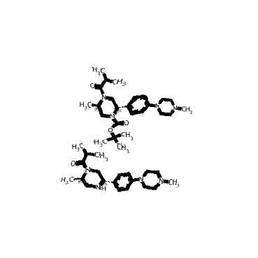 CC(C)C(=O)N1C[C@H](c2ccc(N3CCN(C)CC3)cc2)N(C(=O)OC(C)(C)C)C[C@H]1C.CC(C)C(=O)N1C[C@H](c2ccc(N3CCN(C)CC3)cc2)NC[C@H]1C